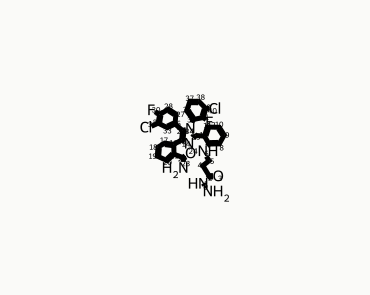 NNC(=O)CCNc1ccccc1-c1nc(-c2ccccc2C(N)=O)c(-c2ccc(F)c(Cl)c2)n1-c1cccc(Cl)c1F